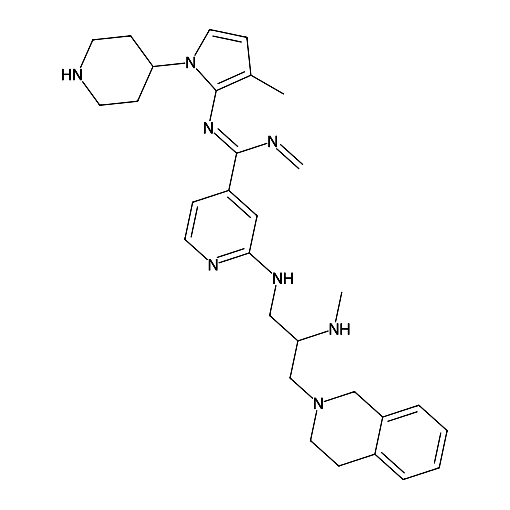 C=N/C(=N\c1c(C)ccn1C1CCNCC1)c1ccnc(NCC(CN2CCc3ccccc3C2)NC)c1